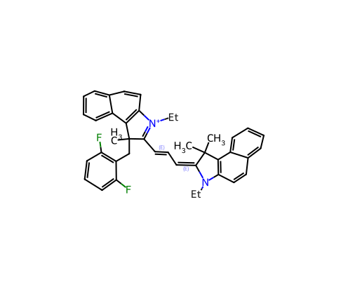 CCN1/C(=C/C=C/C2=[N+](CC)c3ccc4ccccc4c3C2(C)Cc2c(F)cccc2F)C(C)(C)c2c1ccc1ccccc21